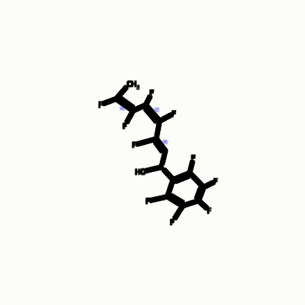 C\C(F)=C(F)/C(F)=C(F)\C(F)=C\B(O)c1c(F)c(F)c(F)c(F)c1F